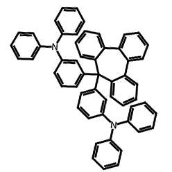 c1ccc(N(c2ccccc2)c2cccc(C3(c4cccc(N(c5ccccc5)c5ccccc5)c4)c4ccccc4-c4ccccc4-c4ccccc43)c2)cc1